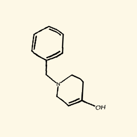 OC1=CCN(Cc2ccccc2)CC1